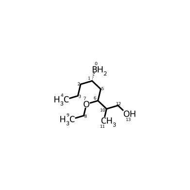 B[C@@H](CCC)CC(OCC)C(C)CO